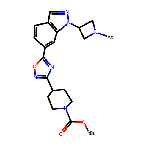 CC(=O)N1CC(n2ncc3ccc(-c4nc(C5CCN(C(=O)OC(C)(C)C)CC5)no4)cc32)C1